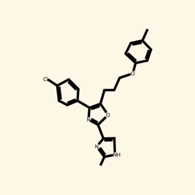 Cc1ccc(OCCCc2oc(-c3c[nH]c(C)n3)nc2-c2ccc(Cl)cc2)cc1